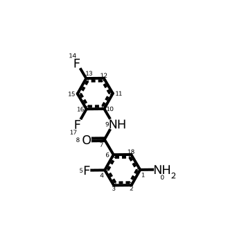 Nc1ccc(F)c(C(=O)Nc2ccc(F)cc2F)c1